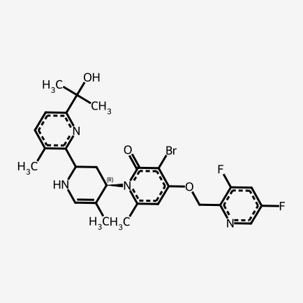 CC1=CNC(c2nc(C(C)(C)O)ccc2C)C[C@H]1n1c(C)cc(OCc2ncc(F)cc2F)c(Br)c1=O